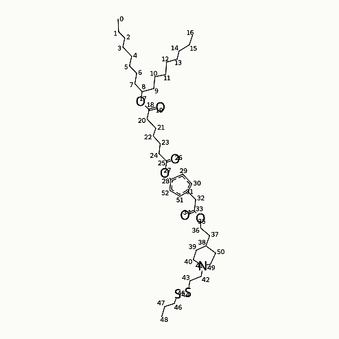 CCCCCCCCC(CCCCCCCC)OC(=O)CCCCCC(=O)Oc1ccc(CC(=O)OCCC2CCN(CCSSCCC)CC2)cc1